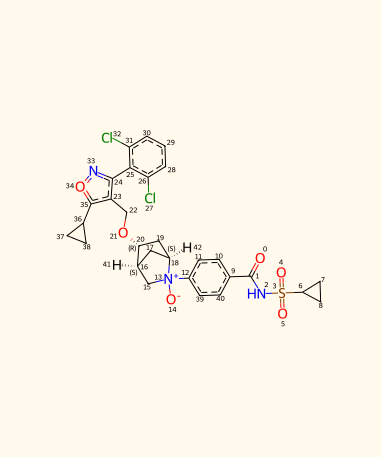 O=C(NS(=O)(=O)C1CC1)c1ccc([N+]2([O-])C[C@@H]3C[C@H]2C[C@H]3OCc2c(-c3c(Cl)cccc3Cl)noc2C2CC2)cc1